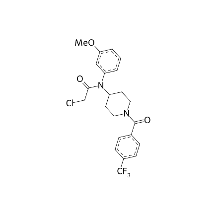 COc1cccc(N(C(=O)CCl)C2CCN(C(=O)c3ccc(C(F)(F)F)cc3)CC2)c1